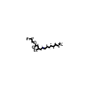 CCC(C/C=C/CCCCCCC(C)=O)CC(=O)OCCC(C)C